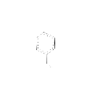 COc1[c]cccc1.[Pt]